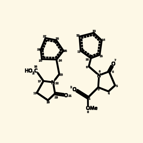 COC(=O)C1CCC(=O)N1Cc1ccccc1.O=C(O)C1CCC(=O)N1Cc1ccccc1